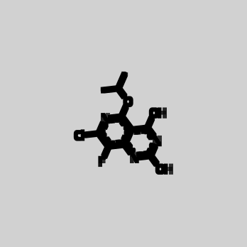 CC(C)Oc1nc(Cl)c(F)c2nc(O)nc(O)c12